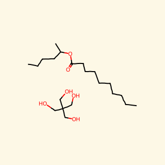 CCCCCCCCCC(=O)OC(C)CCCC.OCC(CO)(CO)CO